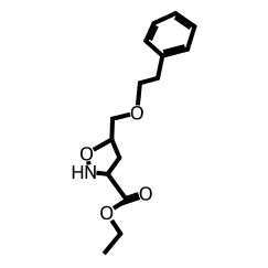 CCOC(=O)C1CC(COCCc2ccccc2)ON1